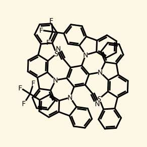 N#Cc1c(-n2c3ccccc3c3ccc(C(F)(F)F)cc32)c(-n2c3ccccc3c3ccc4c5ccccc5sc4c32)c(C#N)c(-n2c3ccccc3c3ccc(C(F)(F)F)cc32)c1-n1c2ccccc2c2ccc3c4ccccc4sc3c21